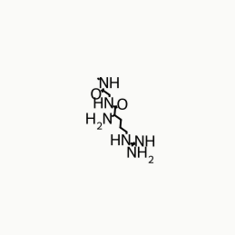 CNC(=O)CNC(=O)C(N)CCCNC(=N)N